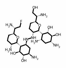 N[C@@H]1CC[C@@H]([C@H](N)CF)OC1[C@H]1[C@H](O)[C@@H](O)[C@H](N)C[C@@H]1NN[C@@H]1CC[C@@H]([C@@H](N)CO)O[C@@H]1C1[C@@H](N)C[C@@H](N)[C@H](O)[C@H]1O